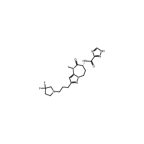 CN1C(=O)[C@H](NC(=O)c2nc[nH]n2)CCn2nc(CCCN3CCC(F)(F)C3)cc21